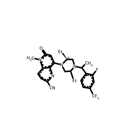 CCC1CN(c2cc(=O)n(C)c3ccc(C#N)nc23)[C@@H](CC)CN1C(C)c1ccc(C(F)(F)F)cc1F